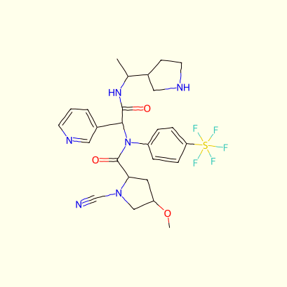 COC1CC(C(=O)N(c2ccc(S(F)(F)(F)(F)F)cc2)C(C(=O)NC(C)C2CCNC2)c2cccnc2)N(C#N)C1